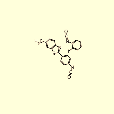 Cc1ccc2nc(-c3ccc(N=C=O)cc3)sc2c1.O=C=Nc1ccccc1I